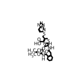 CC(C)(C)OC(=O)NCC1=C(CC(=O)NC2C(=O)N3C(C(=O)O)=C(CSc4ccc5nnnn5n4)CS[C@@H]23)CCCC1